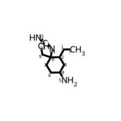 CCC1CC(N)CCC1(CC)N=C=N